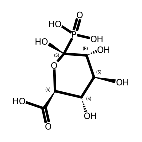 O=C(O)[C@H]1O[C@](O)(P(=O)(O)O)[C@H](O)[C@@H](O)[C@@H]1O